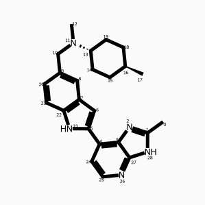 Cc1nc2c(-c3cc4cc(CN(C)[C@H]5CC[C@H](C)CC5)ccc4[nH]3)ccnc2[nH]1